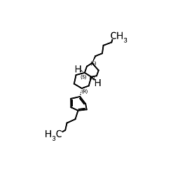 CCCCC[C@H]1CC[C@@H]2C[C@H](c3ccc(CCCC)cc3)CC[C@H]2C1